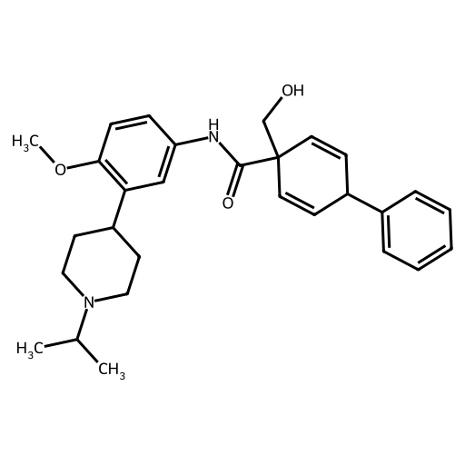 COc1ccc(NC(=O)C2(CO)C=CC(c3ccccc3)C=C2)cc1C1CCN(C(C)C)CC1